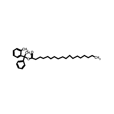 CCCCCCCCCCCCCCCCCC(=O)OC(C)(c1ccccc1)c1ccccc1C